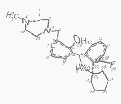 CN1CCN(Cc2cccc(CNC3(c4ccccc4F)CCCCC3)c2O)CC1